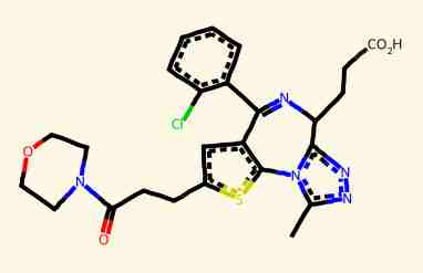 Cc1nnc2n1-c1sc(CCC(=O)N3CCOCC3)cc1C(c1ccccc1Cl)=NC2CCC(=O)O